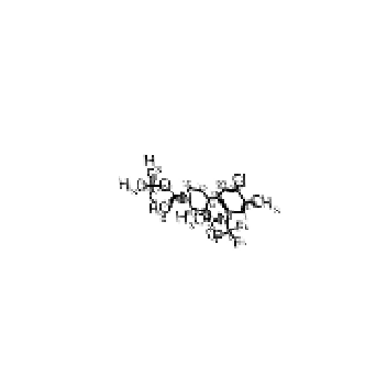 Cc1cc(N(C(F)(F)F)S(C)(=O)=O)c(C2CCN(C(=O)OC(C)(C)C)CC2)cc1Cl